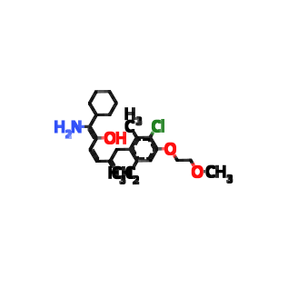 C=C(/C=C\C(O)=C(/N)C1CCCCC1)Cc1c(C)cc(OCCOC)c(Cl)c1C